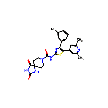 Cc1cc(-c2sc(NC(=O)N3CCC4(CC3)NC(=O)NC4=O)nc2-c2cccc(C#N)c2)cc(C)n1